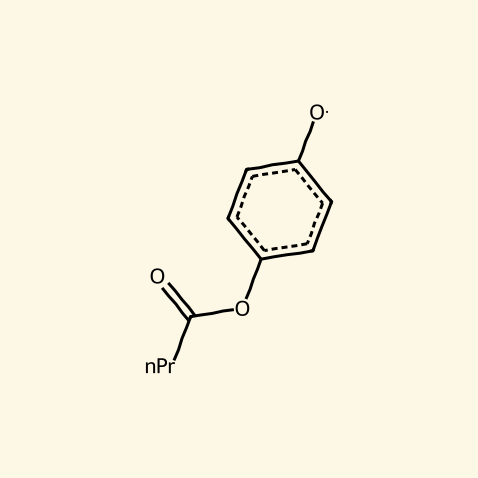 CCCC(=O)Oc1ccc([O])cc1